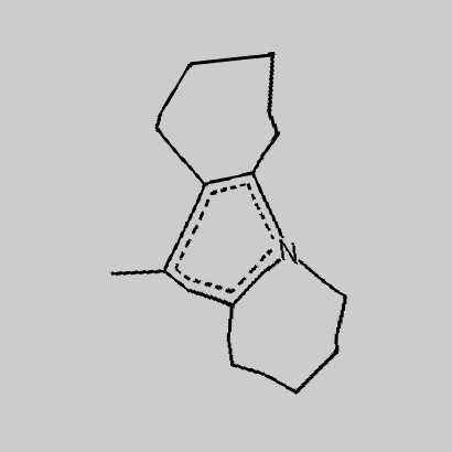 Cc1c2c(n3c1CCCC3)CCCC2